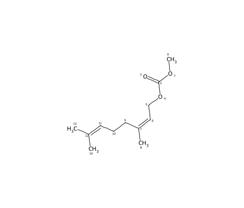 COC(=O)OCC=C(C)CCC=C(C)C